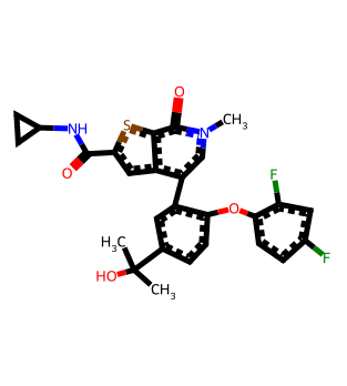 Cn1cc(-c2cc(C(C)(C)O)ccc2Oc2ccc(F)cc2F)c2cc(C(=O)NC3CC3)sc2c1=O